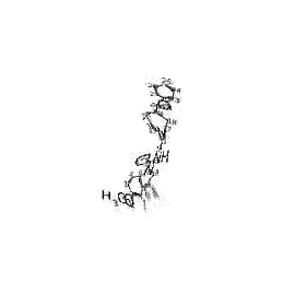 COc1ccc2c(c1)CCN2C(=O)NCCN1CCC(COc2ccccc2)CC1